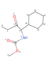 CCC(=O)C(NC(=O)OC)C1CCCCC1